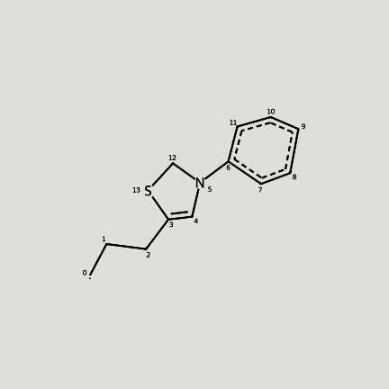 [CH2]CCC1=CN(c2ccccc2)CS1